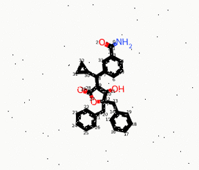 NC(=O)c1cccc(C(C2=C(O)C(Cc3ccccc3)(Cc3ccccc3)OC2=O)C2CC2)c1